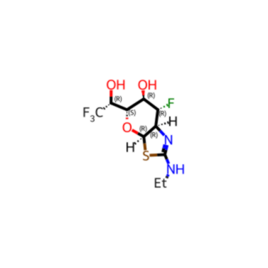 CCNC1=N[C@@H]2[C@@H](F)[C@H](O)[C@@H]([C@@H](O)C(F)(F)F)O[C@@H]2S1